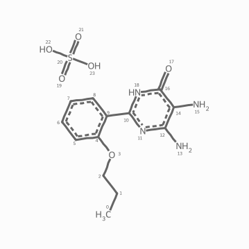 CCCOc1ccccc1-c1nc(N)c(N)c(=O)[nH]1.O=S(=O)(O)O